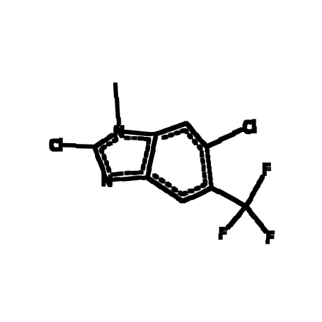 Cn1c(Cl)nc2cc(C(F)(F)F)c(Cl)cc21